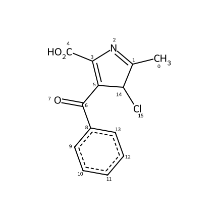 CC1=NC(C(=O)O)=C(C(=O)c2ccccc2)C1Cl